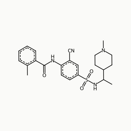 Cc1ccccc1C(=O)Nc1ccc(S(=O)(=O)NC(C)C2CCN(C)CC2)cc1C#N